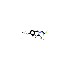 COc1ccc(CN(CC(F)F)C(C)C)cc1